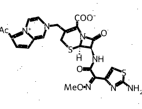 CO/N=C(\C(=O)N[C@@H]1C(=O)N2C(C(=O)[O-])=C(Cn3cc[n+]4c(C(C)=O)ccc-4c3)CS[C@H]12)c1csc(N)n1